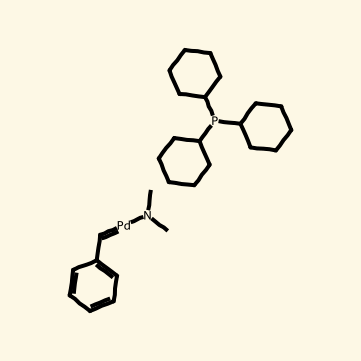 C1CCC(P(C2CCCCC2)C2CCCCC2)CC1.C[N](C)[Pd]=[CH]c1ccccc1